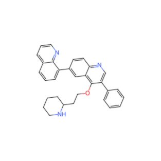 c1ccc(-c2cnc3ccc(-c4cccc5cccnc45)cc3c2OCCC2CCCCN2)cc1